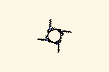 CCCCCCCCn1c2ccc3cc2c2cc(ccc21)C#Cc1ccc2c(c1)c1cc(ccc1n2CCCCCCCC)C#Cc1ccc2c(c1)c1cc(ccc1n2CCCCCCCC)C#Cc1ccc2c(c1)c1cc(ccc1n2CCCCCCCC)C#C3